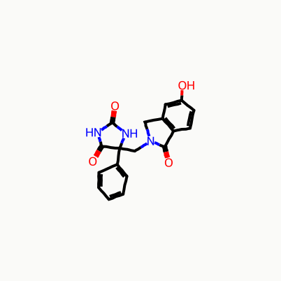 O=C1NC(=O)C(CN2Cc3cc(O)ccc3C2=O)(c2ccccc2)N1